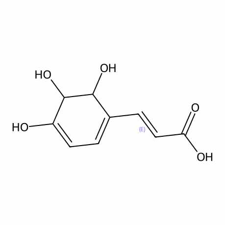 O=C(O)/C=C/C1=CC=C(O)C(O)C1O